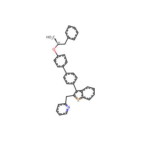 O=C(O)[C@@H](Cc1ccccc1)Oc1ccc(-c2ccc(-c3c(Cc4ccccn4)sc4ccccc34)cc2)cc1